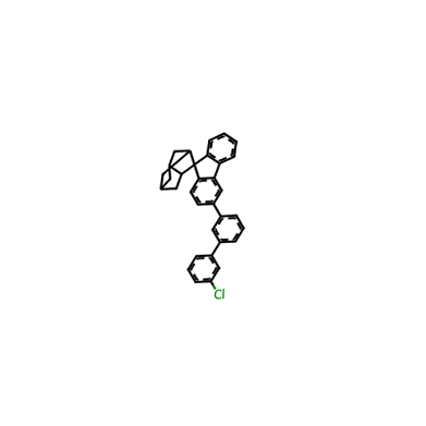 Clc1cccc(-c2cccc(-c3ccc4c(c3)-c3ccccc3C43C4CC5CC(C4)C3C5)c2)c1